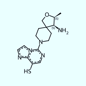 C[C@@H]1OCC2(CCN(c3ncc(S)c4nccn34)CC2)[C@@H]1N